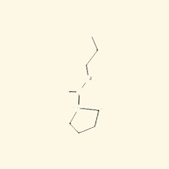 [O-][S+](NCCCl)N1CCCC1